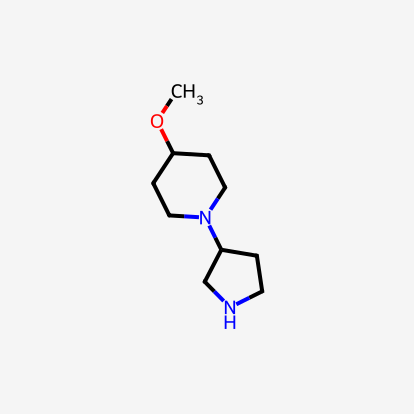 COC1CCN(C2CCNC2)CC1